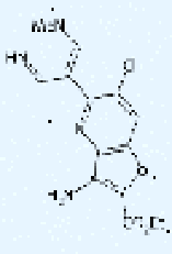 CCOC(=O)c1oc2cc(Cl)c(/C(C=N)=C/NC)nc2c1N